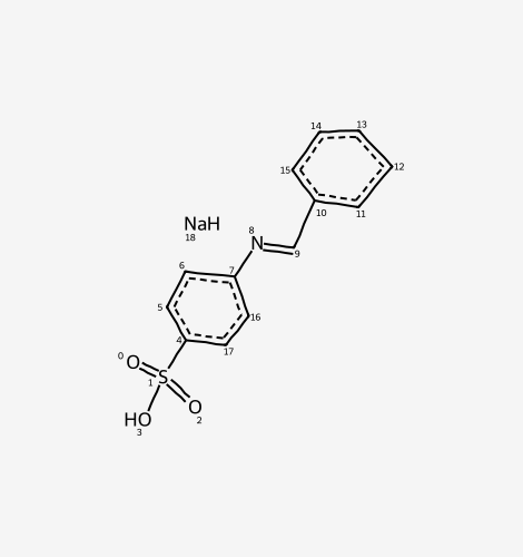 O=S(=O)(O)c1ccc(N=Cc2ccccc2)cc1.[NaH]